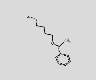 CC(=O)CCCCCOC(C)c1ccccc1